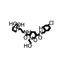 O=C(NCc1ccc(Cl)cc1)c1ccc(C(=O)NCCN2CCCS2(O)O)n(CCO)c1=O